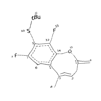 C=C1C=C(C)c2cc(F)c(SC(C)(C)C)c(F)c2O1